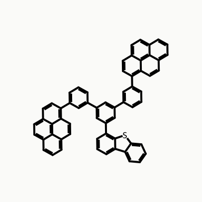 c1cc(-c2cc(-c3cccc(-c4ccc5ccc6cccc7ccc4c5c67)c3)cc(-c3cccc4c3sc3ccccc34)c2)cc(-c2ccc3ccc4cccc5ccc2c3c45)c1